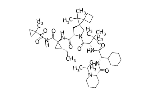 CC[C@@H]1C[C@]1(NC(=O)[C@@H]1C[C@@]2(CN1C(=O)[C@@H](NC(=O)[C@@H](NC(=O)[C@@H]1CCCCN1C(C)C)C1CCCCC1)C(C)(C)C)C(C)(C)C21CCC1)C(=O)NS(=O)(=O)C1(C)CC1